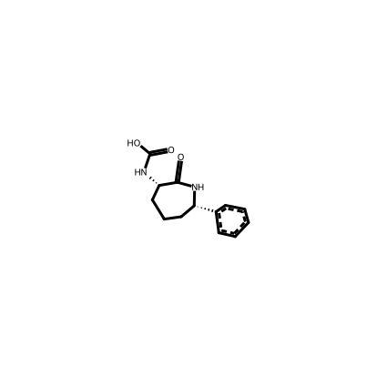 O=C(O)N[C@H]1CCC[C@@H](c2ccccc2)NC1=O